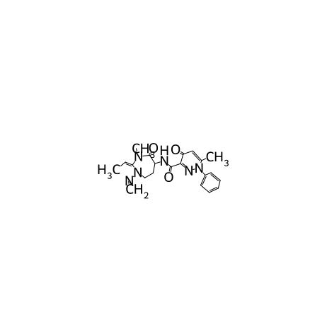 C=NN1CCC(NC(=O)c2nn(-c3ccccc3)c(C)cc2=O)C(=O)N(C)/C1=C/C